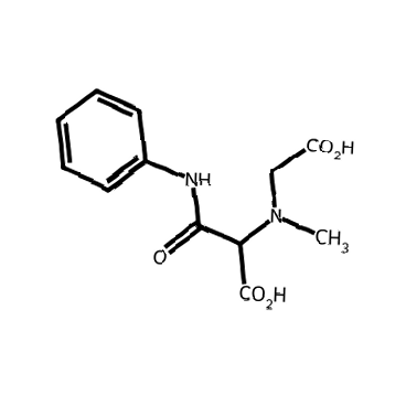 CN(CC(=O)O)C(C(=O)O)C(=O)Nc1ccccc1